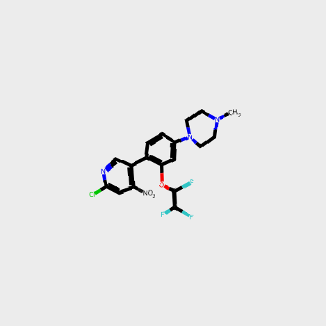 CN1CCN(c2ccc(-c3cnc(Cl)cc3[N+](=O)[O-])c(OC(F)C(F)F)c2)CC1